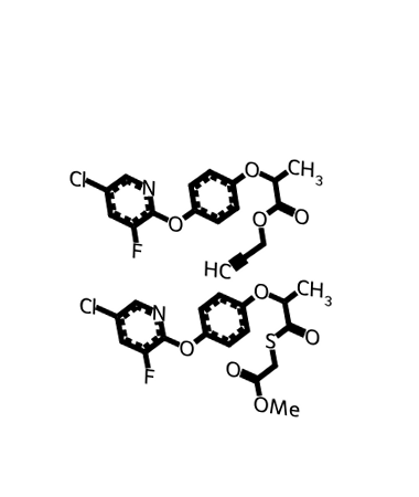 C#CCOC(=O)C(C)Oc1ccc(Oc2ncc(Cl)cc2F)cc1.COC(=O)CSC(=O)C(C)Oc1ccc(Oc2ncc(Cl)cc2F)cc1